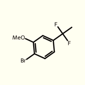 COc1cc(C(C)(F)F)ccc1Br